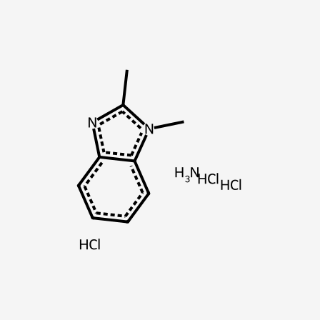 Cc1nc2ccccc2n1C.Cl.Cl.Cl.N